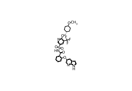 CO[C@H]1CC[C@H](COc2ncc(S(=O)(=O)NC(=O)c3ccccc3Oc3cnc4[nH]ccc4c3)cc2C(F)(F)F)CC1